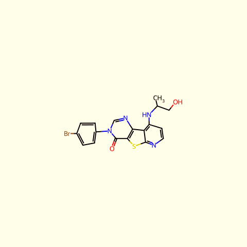 CC(CO)Nc1ccnc2sc3c(=O)n(-c4ccc(Br)cc4)cnc3c12